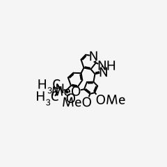 COc1cc(-c2n[nH]c3nccc(-c4ccc(C(=O)N(C)C)cc4)c23)cc(OC)c1OC